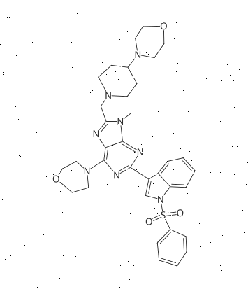 Cn1c(CN2CCC(N3CCOCC3)CC2)nc2c(N3CCOCC3)nc(-c3cn(S(=O)(=O)c4ccccc4)c4ccccc34)nc21